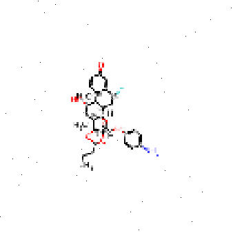 CCCC1O[C@@H]2CC3[C@@H]4C[C@H](F)C5=CC(=O)C=C[C@]5(C)C4[C@@H](O)C[C@]3(C)[C@]2(C(=O)COc2ccc(N)cc2)O1